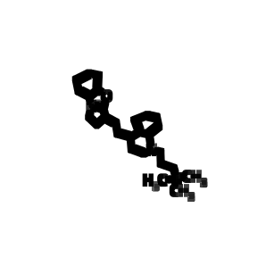 C[N+](C)(C)CCCN1C=C/C(=C/C=C2\CC[n+]3c2oc2ccccc23)c2ccccc21